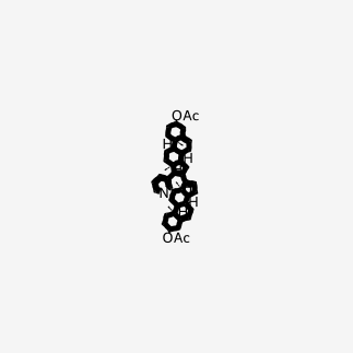 CC(=O)O[C@@H]1CC[C@]2(C)C(=CC[C@@H]3[C@H]4CC=C(C5=C(c6cccnc6)[C@@]6(C)CC[C@H]7[C@@H](CC=C8C[C@@H](OC(C)=O)CC[C@@]87C)[C@@H]6C5)[C@]4(C)CC[C@H]32)C1